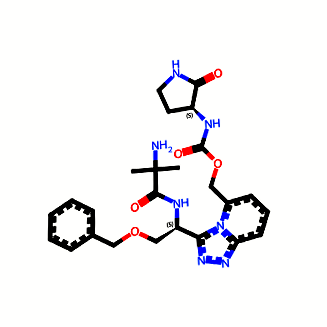 CC(C)(N)C(=O)N[C@H](COCc1ccccc1)c1nnc2cccc(COC(=O)N[C@H]3CCNC3=O)n12